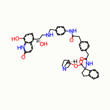 O=C(Cc1ccc(CC(=O)NC2(C(=O)O[C@H]3CN4CCC3CC4)CCc3ccccc32)cc1)Nc1ccc(CNC[C@H](O)c2ccc(O)c3[nH]c(=O)ccc23)cc1